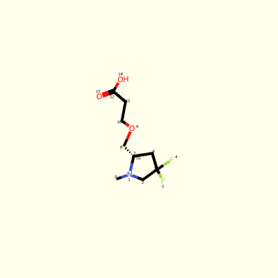 CN1CC(F)(F)C[C@H]1COCCC(=O)O